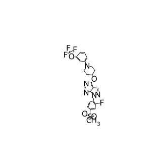 CS(=O)(=O)c1ccc(-n2ncc3c(OC4CCN(c5cccc(OC(F)(F)F)c5)CC4)ncnc32)c(F)c1